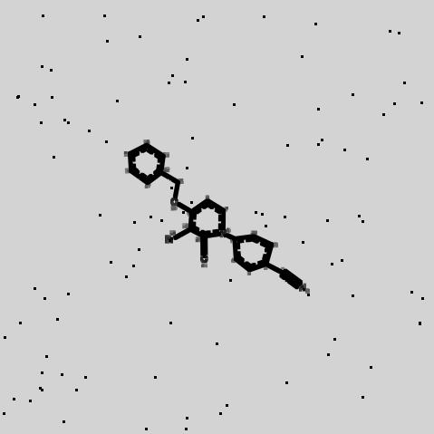 N#Cc1ccc(-n2ccc(OCc3ccccc3)c(Br)c2=O)cc1